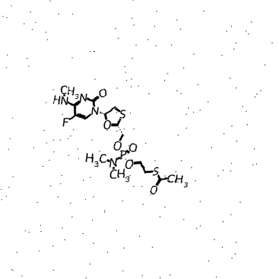 CNc1nc(=O)n([C@@H]2CS[C@H](COP(=O)(OCCSC(C)=O)N(C)C)O2)cc1F